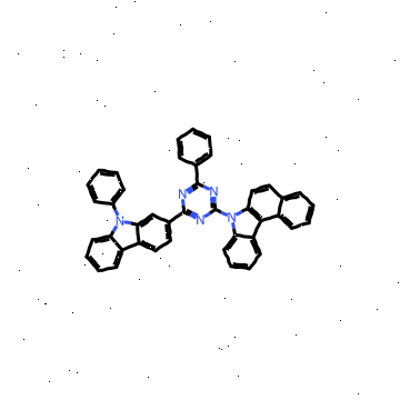 c1ccc(-c2nc(-c3ccc4c5ccccc5n(-c5ccccc5)c4c3)nc(-n3c4ccccc4c4c5ccccc5ccc43)n2)cc1